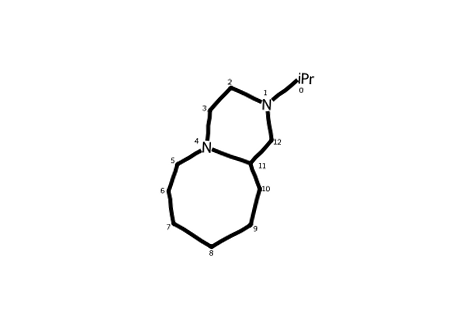 CC(C)N1CCN2CCCCCCC2C1